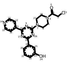 O=C(CCl)N1CCN(c2nc(-c3ccncc3)nc(-c3cccc(O)c3)n2)CC1